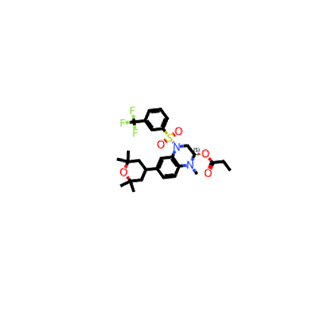 CCC(=O)O[C@H]1CN(S(=O)(=O)c2cccc(C(F)(F)F)c2)c2cc(C3CC(C)(C)OC(C)(C)C3)ccc2N1C